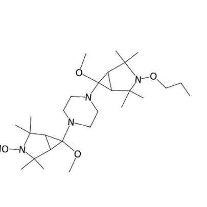 CCCON1C(C)(C)C2C(C1(C)C)C2(OC)N1CCN(C2(OC)C3C2C(C)(C)N(O)C3(C)C)CC1